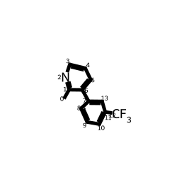 Cc1ncccc1-c1[c]ccc(C(F)(F)F)c1